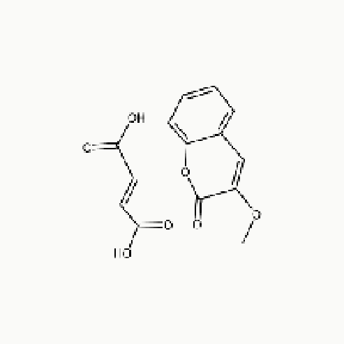 COc1cc2ccccc2oc1=O.O=C(O)/C=C/C(=O)O